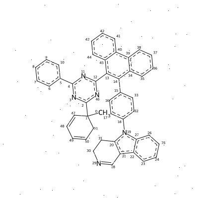 CC1(c2nc(-c3ccccc3)nc(-c3c(-c4ccc(-n5c6c(c7ccccc75)C=NCC6)cc4)c4ccccc4c4ccccc34)n2)C=CC=CC1